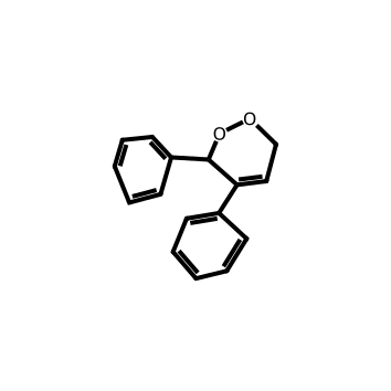 C1=C(c2ccccc2)C(c2ccccc2)OOC1